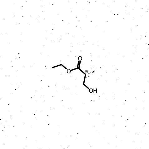 CCOC(=O)[C@H](C)CO